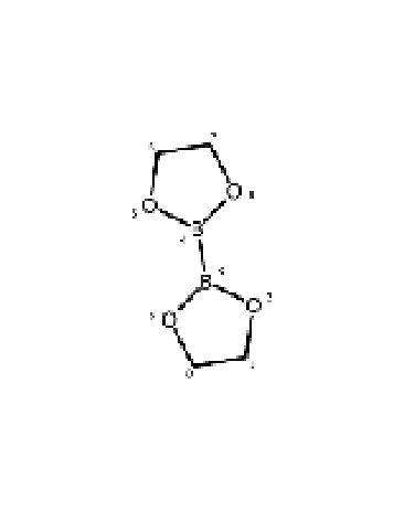 C1COB(B2OCCO2)O1